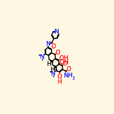 CN(C)c1cc2nc(-c3ccncc3)oc2c2c1C[C@H]1C[C@H]3[C@H](N(C)C)C(O)=C(C(N)=O)C(=O)[C@@]3(O)C(O)=C1C2=O